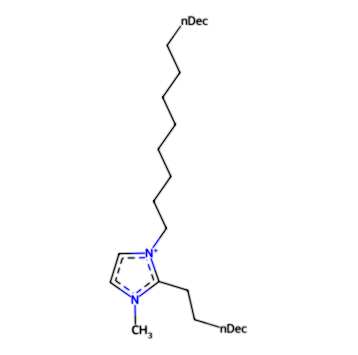 CCCCCCCCCCCCCCCCCC[n+]1ccn(C)c1CCCCCCCCCCCC